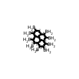 Bc1cc2c(B)c(B)c3c(B)c(B)c(B)c4c(B)c(B)c(c1B)c2c34